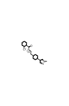 Cn1cc(-c2ccc(CCNC(=O)c3ccccc3C(F)(F)F)cc2)cn1